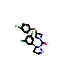 O=C(N1CC(Sc2ccc(Br)cc2)C1)N1N=CC[C@H]1c1cc(F)cc(F)c1